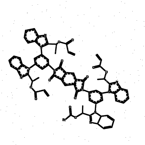 C=CC(=O)OC(C)c1nc2ccccc2n1-c1cc(N2C(C(C)OC(=O)CC)=NC3C=CC=CC32)cc(-n2c(=O)c3cc4c(=O)n(-c5cc(-n6c(C(C)OC(=O)C=C)nc7ccccc76)cc(-n6c(C(C)OC(=O)C=C)nc7ccccc76)c5)c(=O)c4cc3c2=O)c1